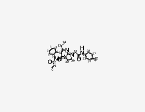 C=CC(=O)Nc1ccccc1-c1c(CC)nc2n(CC(=O)Nc3ccc(F)cc3)ccn2c1=O